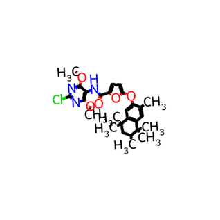 COc1nc(Cl)nc(OC)c1NC(=O)c1ccc(Oc2cc3c(cc2C)C(C)(C)C(C)CC3(C)C)o1